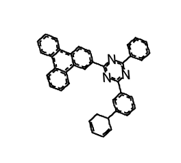 C1=CCC(c2cccc(-c3nc(-c4ccccc4)nc(-c4ccc5c6ccccc6c6ccccc6c5c4)n3)c2)C=C1